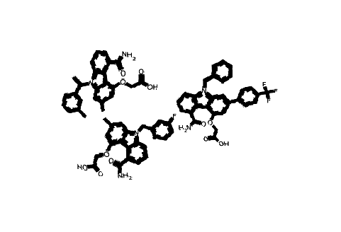 Cc1cc(OCC(=O)O)c2c3c(C(N)=O)cccc3n(Cc3cccc(F)c3)c2c1.Cc1cccc(C(C)n2c3cc(C)cc(OCC(=O)O)c3c3c(C(N)=O)cccc32)c1.NC(=O)c1cccc2c1c1c(OCC(=O)O)cc(-c3ccc(C(F)(F)F)cc3)cc1n2Cc1ccccc1